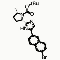 C[C@H]1CC[C@@H](c2ncc(-c3ccc4cc(Br)ccc4c3)[nH]2)N1C(=O)OC(C)(C)C